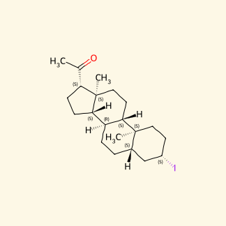 CC(=O)[C@H]1CC[C@H]2[C@@H]3CC[C@H]4C[C@@H](I)CC[C@]4(C)[C@H]3CC[C@]12C